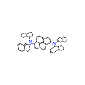 c1ccc2cc(N(c3cccc4ccccc34)c3ccc4ccc5c(N(c6ccc7ccccc7c6)c6cccc7ccccc67)ccc6ccc3c4c65)ccc2c1